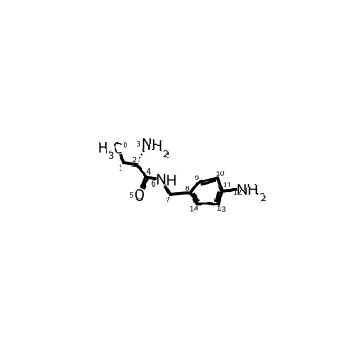 CC[C@H](N)C(=O)NCc1ccc(N)cc1